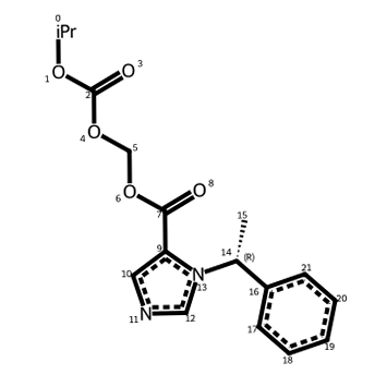 CC(C)OC(=O)OCOC(=O)c1cncn1[C@H](C)c1ccccc1